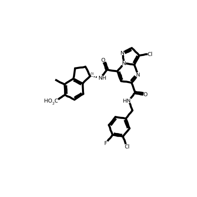 Cc1c(C(=O)O)ccc2c1CC[C@@H]2NC(=O)c1cc(C(=O)NCc2ccc(F)c(Cl)c2)nc2c(Cl)cnn12